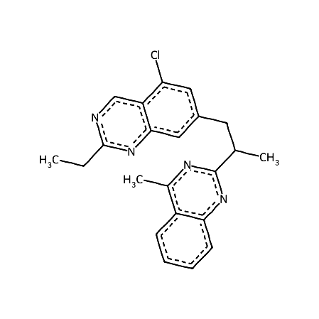 CCc1ncc2c(Cl)cc(CC(C)c3nc(C)c4ccccc4n3)cc2n1